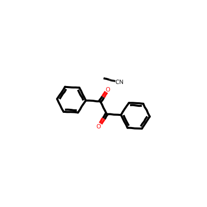 CC#N.O=C(C(=O)c1ccccc1)c1ccccc1